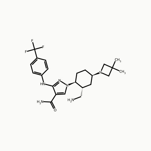 CC1(C)CN([C@@H]2CC[C@H](n3cc(C(N)=O)c(Nc4ccc(C(F)(F)F)cc4)n3)[C@@H](CN)C2)C1